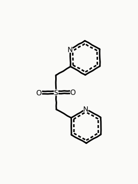 O=S(=O)(Cc1ccccn1)Cc1ccccn1